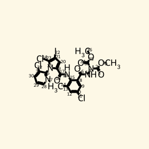 COC(=O)N(NC(=O)c1cc(Cl)cc(C)c1NC(=O)c1cc(I)c(Cl)n1-c1ncccc1Cl)C(=O)OC